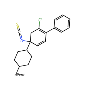 CCCCCC1CCC(C2(N=C=S)C=CC(c3ccccc3)=C(Cl)C2)CC1